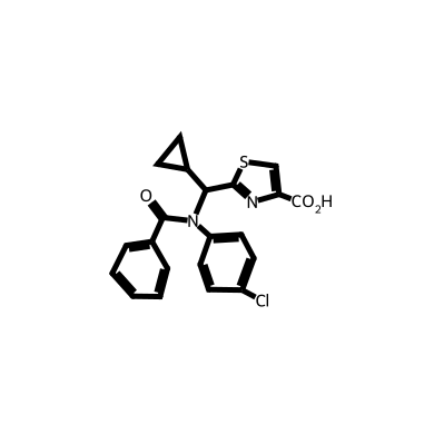 O=C(O)c1csc(C(C2CC2)N(C(=O)c2ccccc2)c2ccc(Cl)cc2)n1